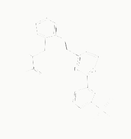 CS(=O)(=O)c1cccc(-c2nccc(COc3ccccc3CC(O)C(=O)O)n2)c1